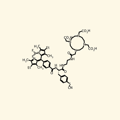 CCC1=C(C)/C(=C(\c2ccc(C(=O)N[C@@H](Cc3ccc(SC#N)cc3)C(=O)NCCNC(=O)CN3CCN(CC(=O)O)CCN(CC(=O)O)CCN(CC(=O)O)CC3)cc2)c2c(C)c(CC)c(C)n2B(F)F)N=C1C